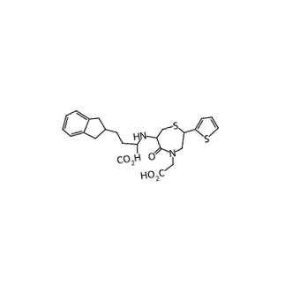 O=C(O)CN1CC(c2cccs2)SCC(NC(CCC2Cc3ccccc3C2)C(=O)O)C1=O